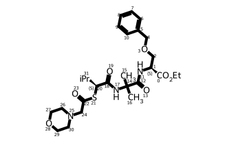 CCOC(=O)[C@H](COCc1ccccc1)NC(=O)C(C)(C)NC(=O)[C@@H](SC(=O)CN1CCOCC1)C(C)C